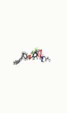 C/C=C/Oc1ccc(COC2CCC(CCCC)CC2)c(F)c1F